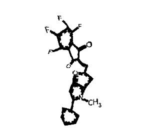 Cn1c(-c2ccccc2)cc2oc(C=C3C(=O)c4c(F)c(F)c(F)c(F)c4C3=O)cc21